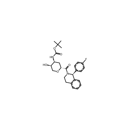 CC(C)(C)OC(=O)N[C@H]1C[C@H](C(=O)N2CCc3ccccc3[C@@H]2c2ccc(F)cc2)OC[C@H]1O